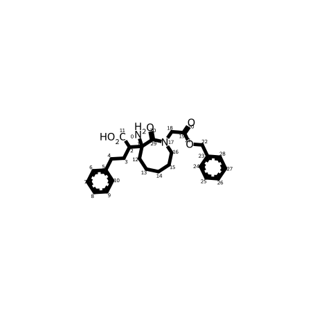 NC1(C(CCc2ccccc2)C(=O)O)CCCCCN(CC(=O)OCc2ccccc2)C1=O